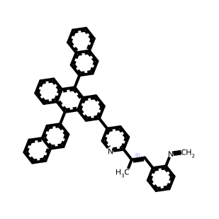 C=Nc1ccccc1/C=C(\C)c1ccc(-c2ccc3c(-c4ccc5ccccc5c4)c4ccccc4c(-c4ccc5ccccc5c4)c3c2)cn1